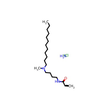 C=CC(=O)NCCCCN(C)CCCCCCCCCCCC.Cl.N